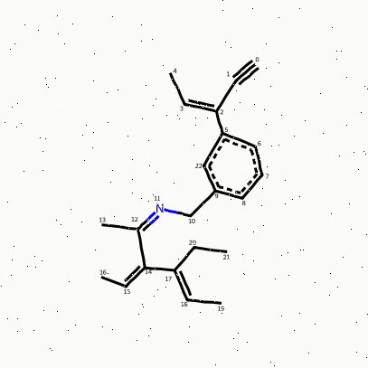 C#C/C(=C\C)c1cccc(C\N=C(C)/C(=C\C)C(=C/C)/CC)c1